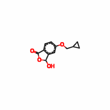 O=C1OC(O)c2cc(OCC3CC3)ccc21